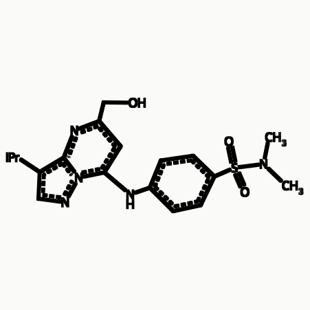 CC(C)c1cnn2c(Nc3ccc(S(=O)(=O)N(C)C)cc3)cc(CO)nc12